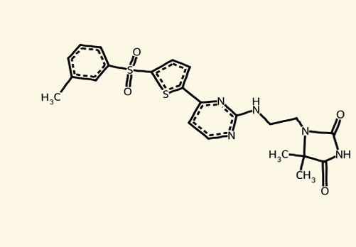 Cc1cccc(S(=O)(=O)c2ccc(-c3ccnc(NCCN4C(=O)NC(=O)C4(C)C)n3)s2)c1